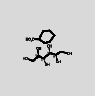 O=C(O)C1CCCCC1.OC[C@@H](O)[C@@H](O)[C@H](O)[C@H](O)CO